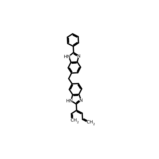 C=C/C=C(\C=C)c1nc2ccc(Cc3ccc4nc(-c5ccccc5)[nH]c4c3)cc2[nH]1